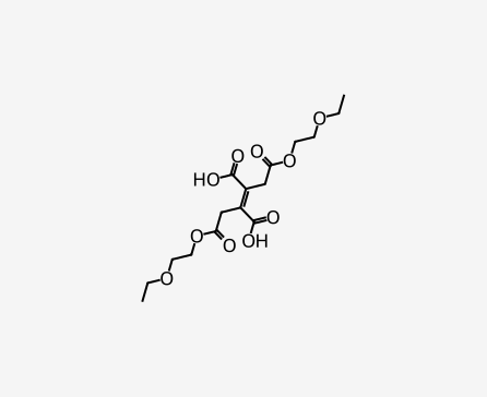 CCOCCOC(=O)CC(C(=O)O)=C(CC(=O)OCCOCC)C(=O)O